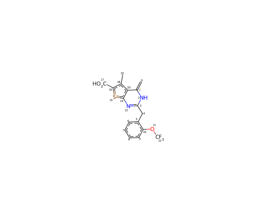 C=C1NC(Cc2ccccc2OC(F)(F)F)=Nc2sc(C(=O)O)c(C)c21